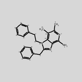 Cc1nc(N)c2nc(Cc3ccccc3)n(CCc3ccccc3)c2c1C